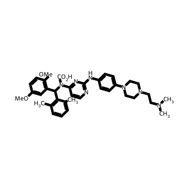 COc1ccc(OC)c(C(c2c(C)cccc2C)N(C(=O)O)c2ccnc(Nc3ccc(N4CCN(CCN(C)C)CC4)cc3)n2)c1